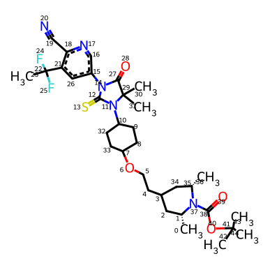 C[C@@H]1CC(CCOC2CCC(N3C(=S)N(c4cnc(C#N)c(C(C)(F)F)c4)C(=O)C3(C)C)CC2)C[C@H](C)N1C(=O)OC(C)(C)C